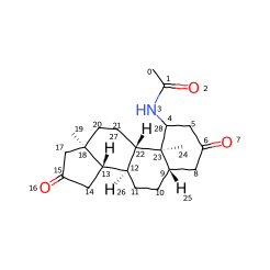 CC(=O)NC1CC(=O)C[C@@H]2CC[C@H]3[C@@H]4CC(=O)C[C@@]4(C)CC[C@@H]3[C@@]12C